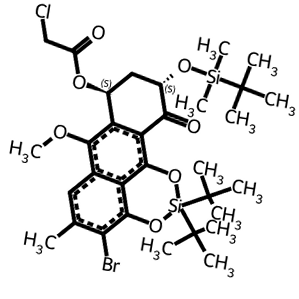 COc1c2c(c3c4c(c(Br)c(C)cc14)O[Si](C(C)(C)C)(C(C)(C)C)O3)C(=O)[C@@H](O[Si](C)(C)C(C)(C)C)C[C@@H]2OC(=O)CCl